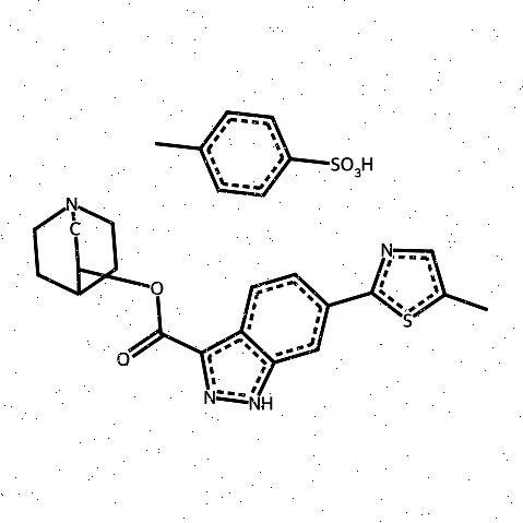 Cc1ccc(S(=O)(=O)O)cc1.Cc1cnc(-c2ccc3c(C(=O)OC4CN5CCC4CC5)n[nH]c3c2)s1